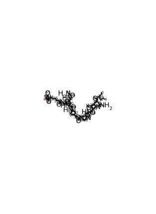 CCCN(CCC)C(=O)C1=Cc2cc(OC)c(C(=O)Nc3cnc4c(c3)CN(C(=O)OCc3ccc(NC(=O)C(CCCNC(N)=O)NC(=O)CNC(=O)CCCCCN5C(=O)C=CC5=O)cc3)CC4)cc2N=C(N)C1